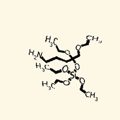 CCOCC(CCCN)(OCC)O[Si](OCC)(OCC)OCC